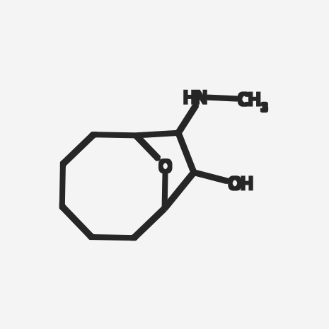 CNC1C2CCCCCC(O2)C1O